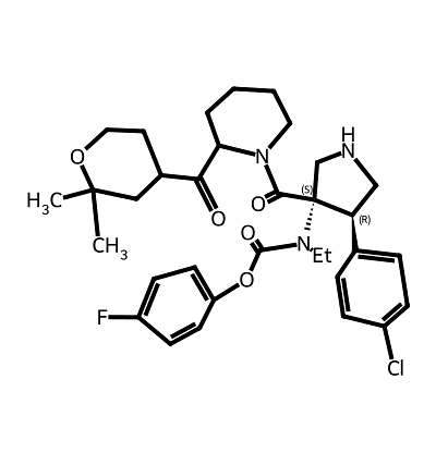 CCN(C(=O)Oc1ccc(F)cc1)[C@]1(C(=O)N2CCCCC2C(=O)C2CCOC(C)(C)C2)CNC[C@H]1c1ccc(Cl)cc1